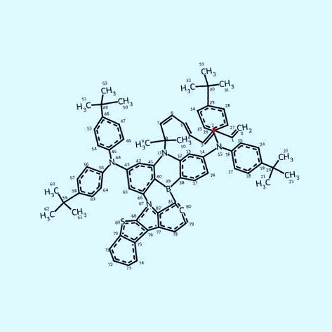 C=C/C=C/C=C/C=C\C(C)(C)N1c2cc(N(c3ccc(C(C)(C)C)cc3)c3ccc(C(C)(C)C)cc3)ccc2B2c3c1cc(N(c1ccc(C(C)(C)C)cc1)c1ccc(C(C)(C)C)cc1)cc3-n1c3sc4ccccc4c3c3cccc2c31